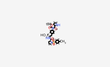 Cc1ccc(S(=O)(=O)N2CCC[C@H]2C(=O)N[C@@H](Cc2ccc(N(C(=O)OC(C)(C)C)C(=O)C3CCCN3)cc2)C(=O)O)cc1